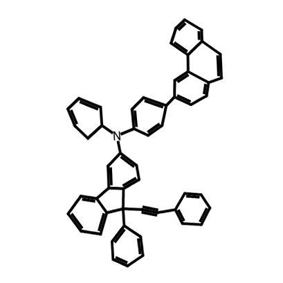 C(#CC1(c2ccccc2)c2ccccc2-c2cc(N(c3ccc(-c4ccc5ccc6ccccc6c5c4)cc3)C3C=CC=CC3)ccc21)c1ccccc1